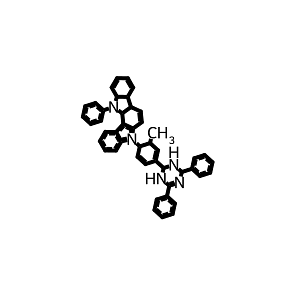 CC1C=C(C2NC(c3ccccc3)=NC(c3ccccc3)N2)C=CC1n1c2c(c3ccccc31)C1C(C=C2)C2C=CC=CC2N1c1ccccc1